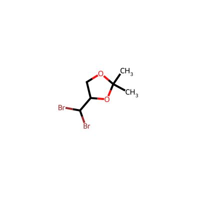 CC1(C)OCC(C(Br)Br)O1